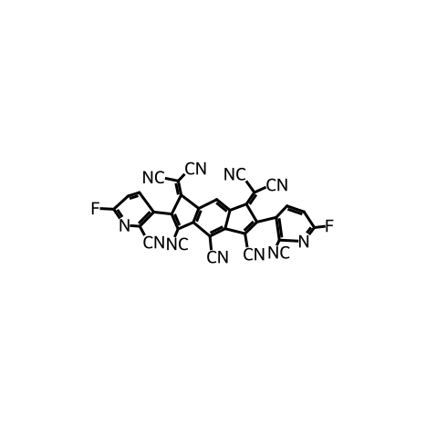 N#CC(C#N)=C1C(c2ccc(F)nc2C#N)=C(C#N)c2c1cc1c(c2C#N)C(C#N)=C(c2ccc(F)nc2C#N)C1=C(C#N)C#N